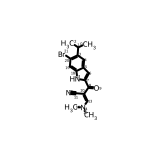 CC(C)c1cc2cc(C(=O)/C(C#N)=C/N(C)C)[nH]c2cc1Br